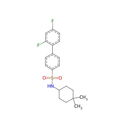 CC1(C)CCC(NS(=O)(=O)c2ccc(-c3ccc(F)cc3F)cc2)CC1